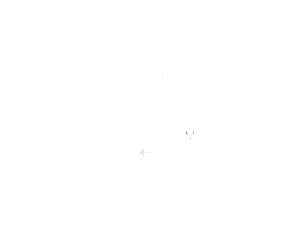 COc1c(O)c2oc2c2oc12